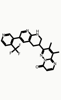 Cc1c(C2CNc3ncc(-c4cnccc4C(F)(F)F)cc3C2)nn2c(=O)ccnc2c1C